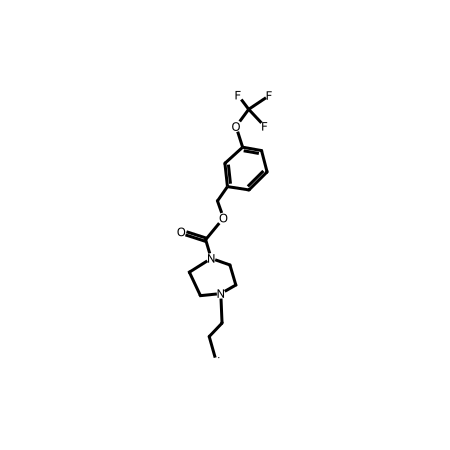 [CH2]CCN1CCN(C(=O)OCc2cccc(OC(F)(F)F)c2)CC1